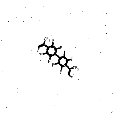 F/C=C(/c1c(F)c(F)c(-c2c(F)c(F)c(/C(=C\F)C(F)(F)F)c(F)c2F)c(F)c1F)C(F)(F)F